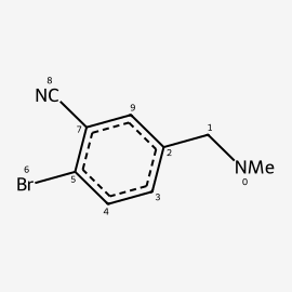 CNCc1ccc(Br)c(C#N)c1